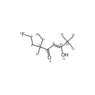 CCC(C)(CCF)C(=O)/C=C(\O)C(C)(C)C